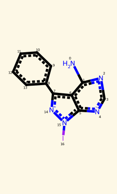 Nc1ncnc2c1c(-c1ccccc1)nn2I